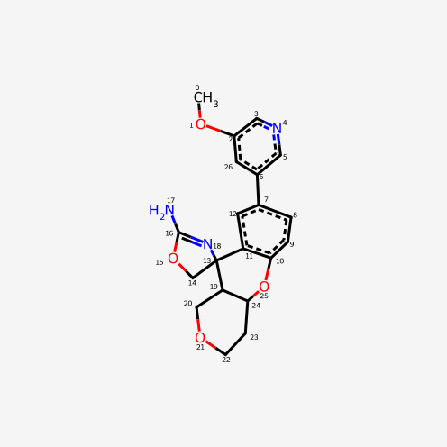 COc1cncc(-c2ccc3c(c2)C2(COC(N)=N2)C2COCCC2O3)c1